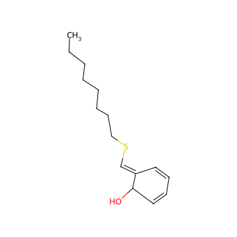 CCCCCCCCSC=C1C=CC=CC1O